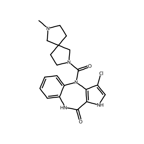 CN1CCC2(CCN(C(=O)N3c4ccccc4NC(=O)c4[nH]cc(Cl)c43)C2)C1